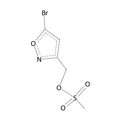 CS(=O)(=O)OCc1cc(Br)on1